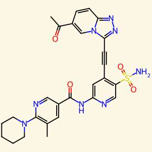 CC(=O)c1ccc2nnc(C#Cc3cc(NC(=O)c4cnc(N5CCCCC5)c(C)c4)ncc3S(N)(=O)=O)n2c1